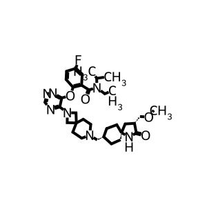 CCN(C(=O)c1cc(F)ccc1Oc1nncnc1N1CC2(CCN(C[C@H]3CC[C@]4(CC3)C[C@H](COC)C(=O)N4)CC2)C1)C(C)C